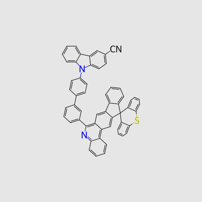 N#Cc1ccc2c(c1)c1ccccc1n2-c1ccc(-c2cccc(-c3nc4ccccc4c4cc5c(cc34)-c3ccccc3C53c4ccccc4Sc4ccccc43)c2)cc1